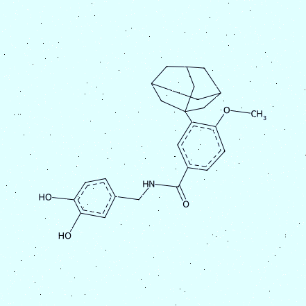 COc1ccc(C(=O)NCc2ccc(O)c(O)c2)cc1C12CC3CC(CC(C3)C1)C2